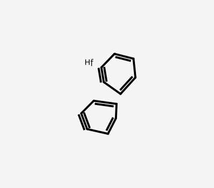 [Hf].c1ccccc#1.c1ccccc#1